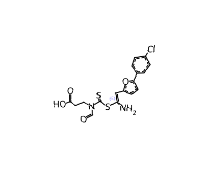 N/C(=C\c1ccc(-c2ccc(Cl)cc2)o1)SC(=S)N(C=O)CCC(=O)O